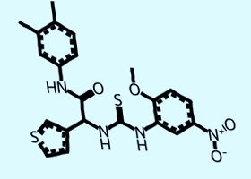 COc1ccc([N+](=O)[O-])cc1NC(=S)NC(C(=O)Nc1ccc(C)c(C)c1)c1ccsc1